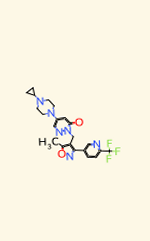 Cc1onc(-c2ccc(C(F)(F)F)nc2)c1Cn1ncc(N2CCN(C3CC3)CC2)cc1=O